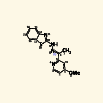 COc1ccnc(/C(C)=N/Nc2nc3ccccc3s2)c1